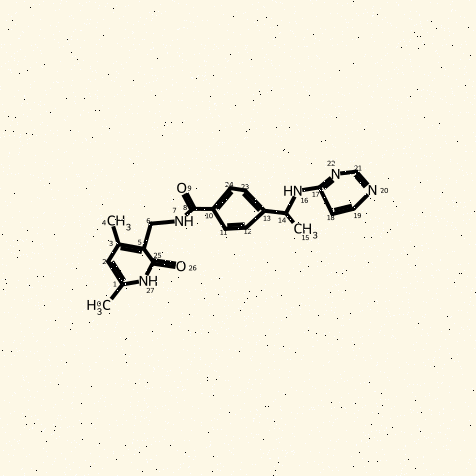 Cc1cc(C)c(CNC(=O)c2ccc(C(C)Nc3ccncn3)cc2)c(=O)[nH]1